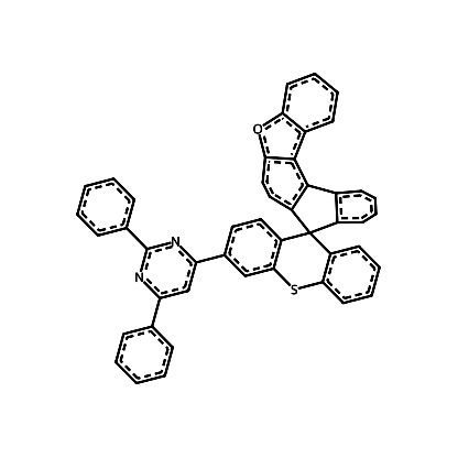 c1ccc(-c2cc(-c3ccc4c(c3)Sc3ccccc3C43c4ccccc4-c4c3ccc3oc5ccccc5c43)nc(-c3ccccc3)n2)cc1